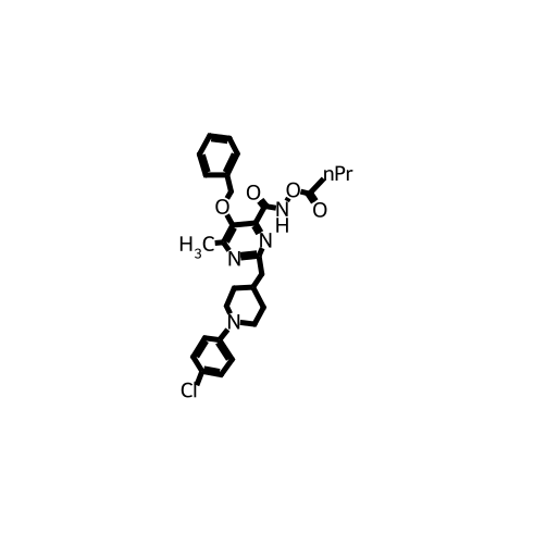 CCCC(=O)ONC(=O)c1nc(CC2CCN(c3ccc(Cl)cc3)CC2)nc(C)c1OCc1ccccc1